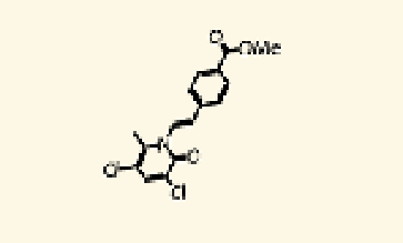 COC(=O)c1ccc(C=Cn2c(C)c(Cl)cc(Cl)c2=O)cc1